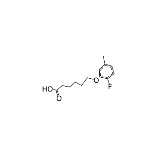 Cc1ccc(F)c(OCCCCCC(=O)O)c1